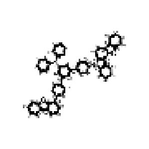 c1ccc(N(c2ccccc2)c2cc(-c3ccc(-c4cccc5c4oc4ccccc45)cc3)cc(-c3ccc(-n4c5ccccc5c5c6oc7ccccc7c6ccc54)cc3)c2)cc1